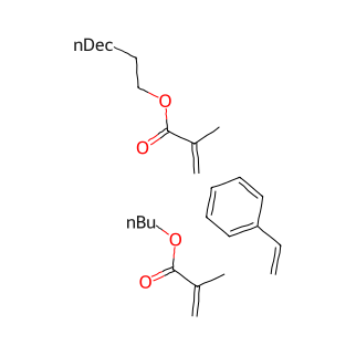 C=C(C)C(=O)OCCCC.C=C(C)C(=O)OCCCCCCCCCCCC.C=Cc1ccccc1